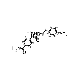 NC(=O)c1ccc(N(S)C(=O)NCCc2ccc(N)cc2)cc1